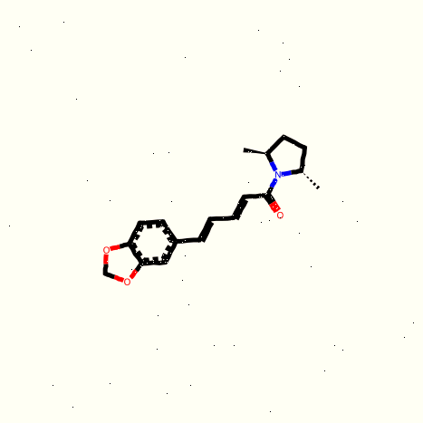 C[C@H]1CC[C@H](C)N1C(=O)/C=C/C=C/c1ccc2c(c1)OCO2